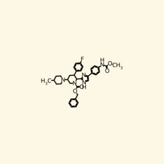 COC(=O)Nc1ccc(-c2c[nH]c(C3C(c4ccc(F)cc4)CC(N4CCC(C)CC4)CN3C(=O)OCc3ccccc3)n2)cc1